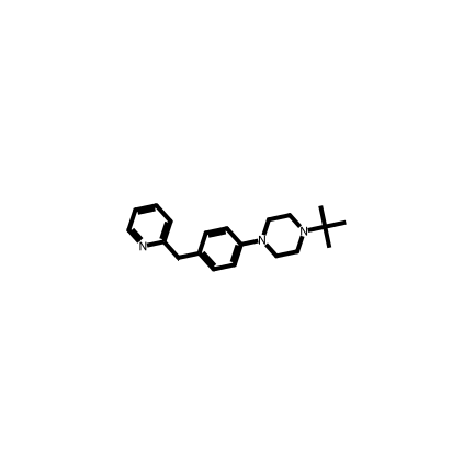 CC(C)(C)N1CCN(c2ccc([CH]c3ccccn3)cc2)CC1